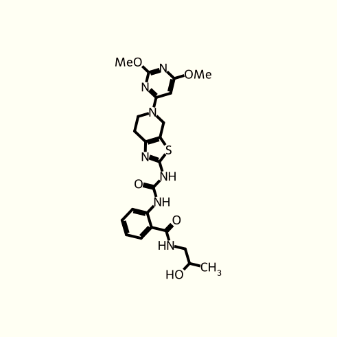 COc1cc(N2CCc3nc(NC(=O)Nc4ccccc4C(=O)NCC(C)O)sc3C2)nc(OC)n1